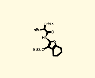 CCCCCCC(CCCC)C(=O)Nc1sc2c(c1C(=O)OCC)CCCC2